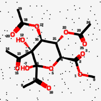 COC(=O)[C@H]1OC(O)(C(C)=O)[C@@](O)(C(C)=O)[C@@H](OC(C)=O)[C@@H]1OC(C)=O